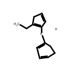 CCC1=[C]([Ir][C]2=CC=CCC2)C=CC1.[Ir]